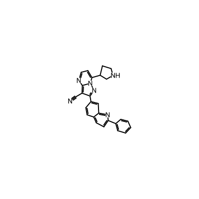 N#Cc1c(-c2ccc3ccc(-c4ccccc4)nc3c2)nn2c(C3CCNC3)ccnc12